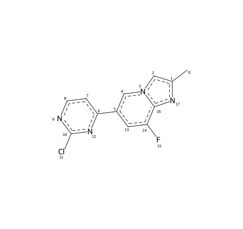 Cc1cn2cc(-c3ccnc(Cl)n3)cc(F)c2n1